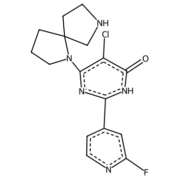 O=c1[nH]c(-c2ccnc(F)c2)nc(N2CCCC23CCNC3)c1Cl